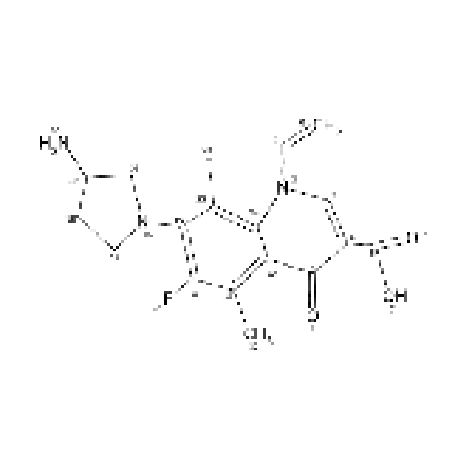 C=Cn1cc(C(=O)O)c(=O)c2c(C)c(F)c(N3CCC(N)C3)c(F)c21